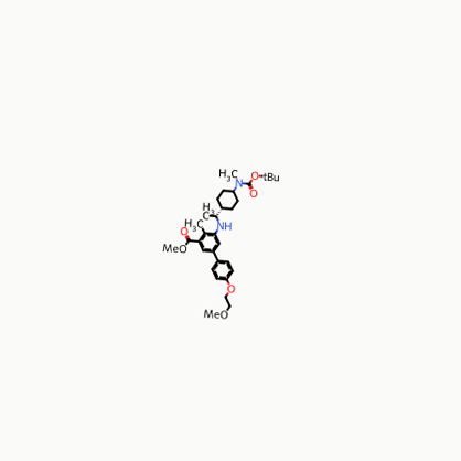 COCCOc1ccc(-c2cc(NC(C)[C@H]3CC[C@H](N(C)C(=O)OC(C)(C)C)CC3)c(C)c(C(=O)OC)c2)cc1